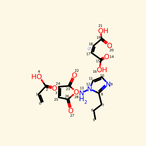 C=CC(=O)O.CCCc1nccn1N.O=C(O)/C=C\C(=O)O.O=C1C=CC(=O)O1